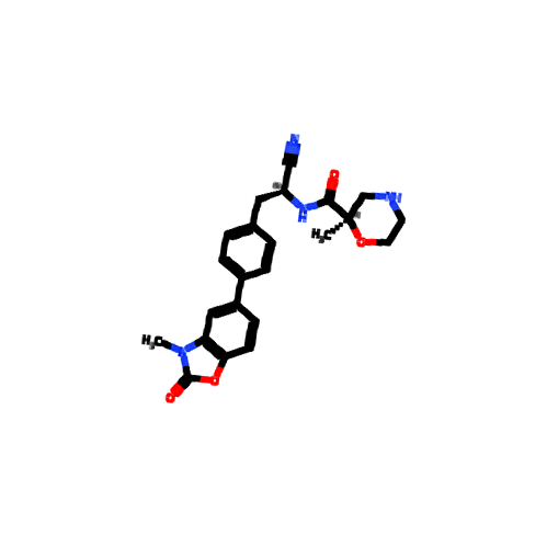 Cn1c(=O)oc2ccc(-c3ccc(C[C@@H](C#N)NC(=O)[C@@]4(C)CNCCO4)cc3)cc21